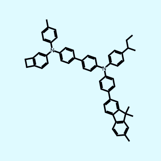 CCC(C)c1ccc(N(c2ccc(-c3ccc(N(c4ccc(C)cc4)c4ccc5c(c4)CC5)cc3)cc2)c2ccc(-c3ccc4c(c3)C(C)(C)c3cc(C)ccc3-4)cc2)cc1